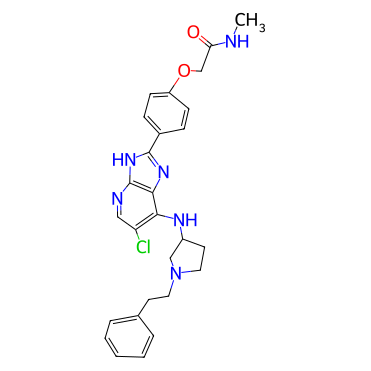 CNC(=O)COc1ccc(-c2nc3c(NC4CCN(CCc5ccccc5)C4)c(Cl)cnc3[nH]2)cc1